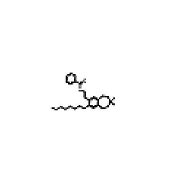 CCCCCCCCc1cc2c(cc1/C=C/OC(=O)c1ccccc1)CCC(C)(C)CC2